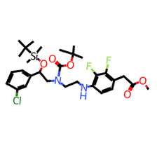 COC(=O)Cc1ccc(NCCN(CC(O[Si](C)(C)C(C)(C)C)c2cccc(Cl)c2)C(=O)OC(C)(C)C)c(F)c1F